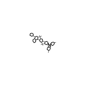 Cc1ccc(N(c2ccc(C)cc2)c2ccc3c(c2)C(C)(C)c2cc4c(cc2-3)C(C)(C)c2cc(-c3ccccc3)c3ccccc3c2-4)cc1